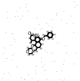 CC1CC(=O)Nc2cc(OCc3ccccc3)c3c(c21)C(=O)C(CN1CCOCC1)CC3